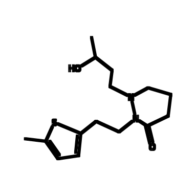 Cc1ccc(CCN2C(=O)CCCN2CCC(C)O)s1